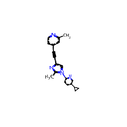 Cc1cc(C#Cc2cn(-c3ccc(C4CC4)cn3)c(C)n2)ccn1